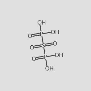 O=P(O)(O)S(=O)(=O)P(=O)(O)O